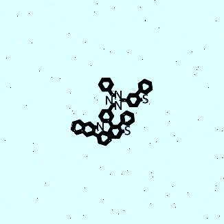 c1ccc(-c2nc(-c3ccc(-n4c5ccccc5c5cc6ccccc6cc54)c(-c4cccc5sc6ccccc6c45)c3)nc(-c3ccc4sc5ccccc5c4c3)n2)cc1